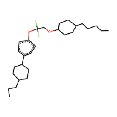 CCCCCC1CCC(OCC(F)(F)Oc2ccc(C3CCC(CCC)CC3)cc2)CC1